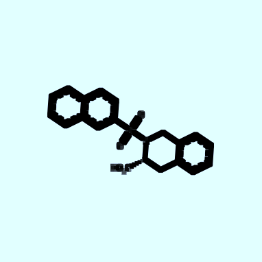 O=C(O)[C@H]1Cc2ccccc2CN1S(=O)(=O)c1ccc2ccccc2c1